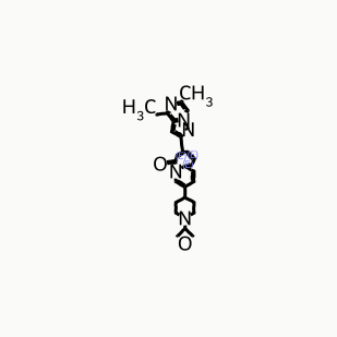 CCc1nc(C)cn2nc(C3=C\C(=O)N4C=C(C5CCN(C6COC6)CC5)C=C\C4=C/C=C/3)cc12